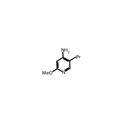 COc1cc(N)c(C(C)C)cn1